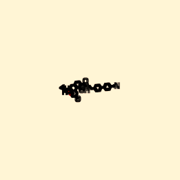 N#Cc1ccc(-c2ccc(CCNC(=O)c3ccc4c(c3O)[C@]35CCN(CC6CC6)[C@H](C4)C3(O)CCC(=O)C5)cc2)cc1